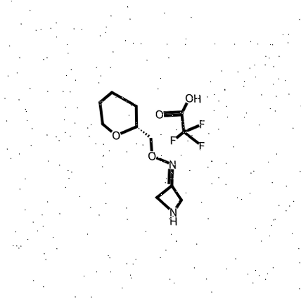 C1CC[C@H](CON=C2CNC2)OC1.O=C(O)C(F)(F)F